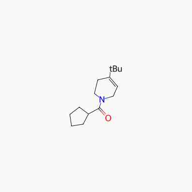 CC(C)(C)C1=CCN(C(=O)C2CCCC2)CC1